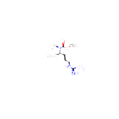 CC(C)(C)OC(=O)N(C(C=O)CCCNC(=N)N)[N+](=O)[O-]